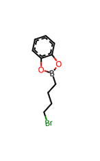 BrCCCCB1Oc2ccccc2O1